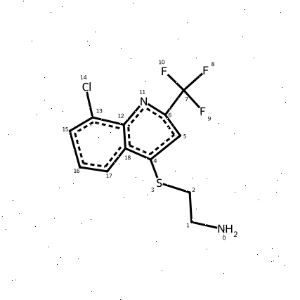 NCCSc1cc(C(F)(F)F)nc2c(Cl)cccc12